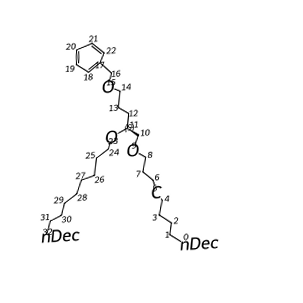 CCCCCCCCCCCCCCCCCCOC[C@H](CCCOCc1ccccc1)OCCCCCCCCCCCCCCCCCC